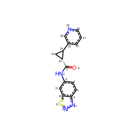 O=C(Nc1ccc2nnsc2c1)[C@@H]1CC1c1cccnc1